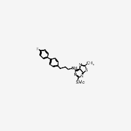 CSc1nc(NCCCc2ccc(-c3ccc(F)cc3)cc2)c2nc(C)sc2n1